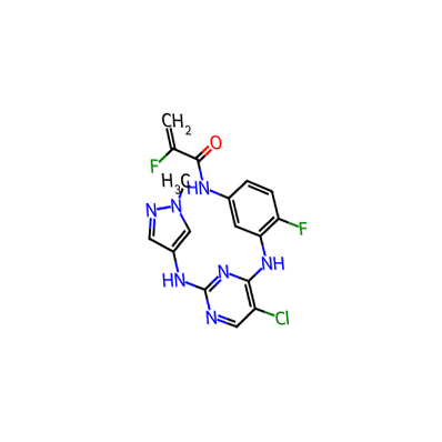 C=C(F)C(=O)Nc1ccc(F)c(Nc2nc(Nc3cnn(C)c3)ncc2Cl)c1